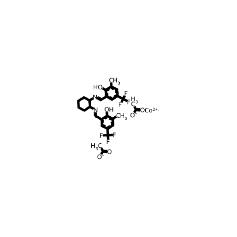 CC(=O)[O-].CC(=O)[O-].Cc1cc(C(F)(F)F)cc(C=NC2CCCCC2N=Cc2cc(C(F)(F)F)cc(C)c2O)c1O.[Co+2]